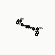 CCCCc1ccc(N(/C=C2/CCCc3ccccc32)c2ccc(/C=C/c3ccc4cc(/C=C/c5ccc(N(/C=C6\CCCc7ccccc76)c6ccc(CCCC)cc6)cc5)ccc4c3)cc2)cc1